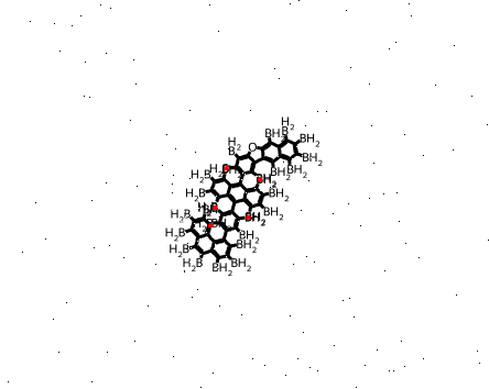 Bc1c(B)c(-c2c(B)c(B)c(B)c3c(B)c(B)c4c(B)c(B)c(B)c(B)c4c23)c(B)c(B)c1-c1c2c(B)c(B)c(B)c(B)c2c(-c2c(B)c(B)c3oc4c(B)c5c(B)c(B)c(B)c(B)c5c(B)c4c3c2B)c2c(B)c(B)c(B)c(B)c12